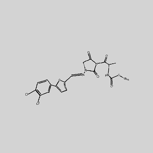 CC(NC(=O)OC(C)(C)C)C(=O)N1C(=O)CN(N=Cc2ccc(-c3ccc(Cl)c(Cl)c3)o2)C1=O